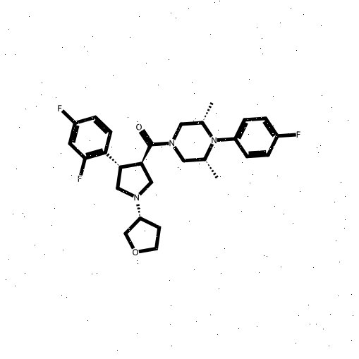 C[C@@H]1CN(C(=O)[C@H]2CN([C@@H]3CCOC3)C[C@@H]2c2ccc(F)cc2F)C[C@H](C)N1c1ccc(F)cc1